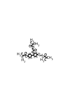 C=C(C)C(=O)OCCOc1ccc(-c2ccc(OC(=O)C(=C)C)cc2)c(OC(=O)COC(=O)C(=C)C)c1